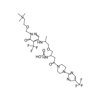 CC(COCC(CC(=O)N1CCN(c2ncc(C(F)(F)F)cn2)CC1)NC(=O)O)Nc1cnn(COCC[Si](C)(C)C)c(=O)c1C(F)(F)F